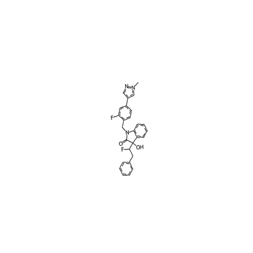 Cn1cc(-c2ccc(CN3C(=O)C(O)(C(F)Cc4ccccc4)c4ccccc43)c(F)c2)cn1